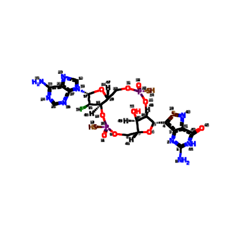 Nc1nc2c([C@@H]3O[C@@H]4CO[P@@](=O)(S)O[C@H]5[C@@H](F)[C@H](n6cnc7c(N)ncnc76)O[C@@H]5CO[P@](=O)(S)O[C@@H]3[C@@H]4O)snc2c(=O)[nH]1